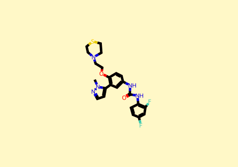 Cn1nccc1-c1cc(NC(=O)Nc2ccc(F)cc2F)ccc1OCCN1CCSCC1